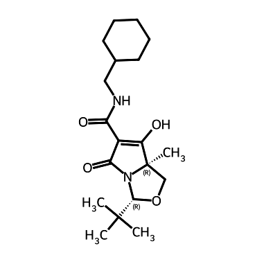 CC(C)(C)[C@H]1OC[C@]2(C)C(O)=C(C(=O)NCC3CCCCC3)C(=O)N12